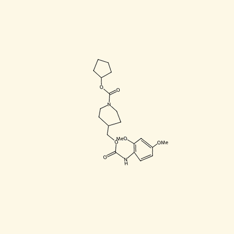 COc1ccc(NC(=O)OCC2CCN(C(=O)OC3CCCC3)CC2)c(OC)c1